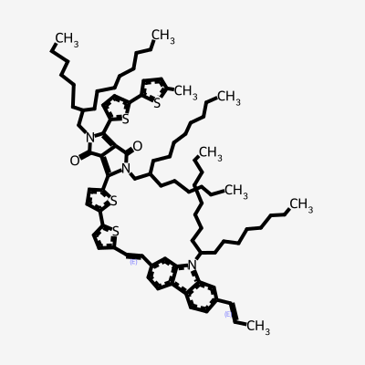 C/C=C/c1ccc2c3ccc(/C=C/c4ccc(-c5ccc(C6=C7C(=O)N(CC(CCCCCC)CCCCCCCC)C(c8ccc(-c9ccc(C)s9)s8)=C7C(=O)N6CC(CCCCCC)CCCCCCCC)s5)s4)cc3n(C(CCCCCCCC)CCCCCCCC)c2c1